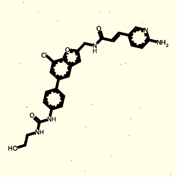 Nc1ccc(/C=C/C(=O)NCc2cc3cc(-c4ccc(NC(=O)NCCO)cc4)cc(Cl)c3o2)cn1